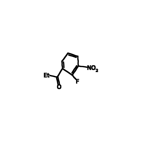 CCC(=O)c1cccc([N+](=O)[O-])c1F